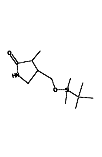 CC1C(=O)NCC1CO[Si](C)(C)C(C)(C)C